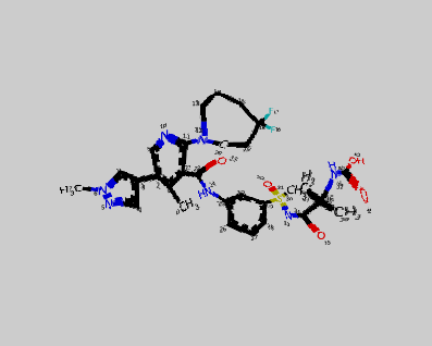 Cc1c(-c2cnn(C)c2)cnc(N2CCCC(F)(F)CC2)c1C(=O)Nc1cccc(S(C)(=O)=NC(=O)C(C)(C)NC(=O)O)c1